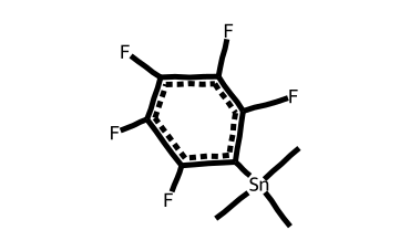 [CH3][Sn]([CH3])([CH3])[c]1c(F)c(F)c(F)c(F)c1F